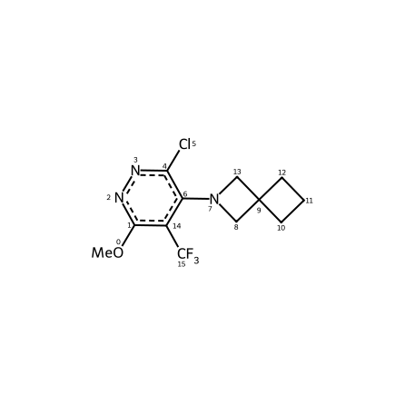 COc1nnc(Cl)c(N2CC3(CCC3)C2)c1C(F)(F)F